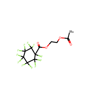 CC(C)(C)C(=O)OCCOC(=O)C1(F)C(F)(F)C(F)(F)C(F)(F)C(F)(F)C1(F)F